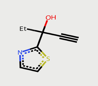 C#CC(O)(CC)c1nccs1